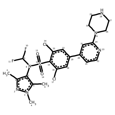 Cc1nn(C)c(C)c1N(C(F)F)S(=O)(=O)c1c(Cl)cc(-c2ccnc(N3CCNCC3)c2)cc1Cl